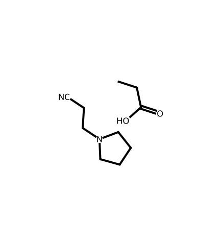 CCC(=O)O.N#CCCN1CCCC1